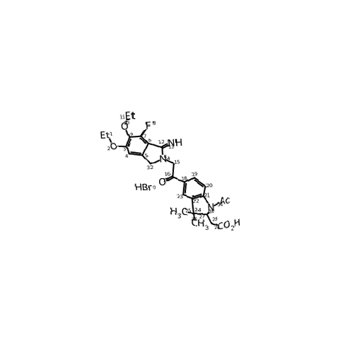 Br.CCOc1cc2c(c(F)c1OCC)C(=N)N(CC(=O)c1ccc3c(c1)C(C)(C)C(CC(=O)O)N3C(C)=O)C2